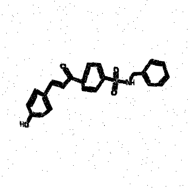 O=C(/C=C/c1ccc(O)cc1)c1ccc(S(=O)(=O)NCc2ccccc2)cc1